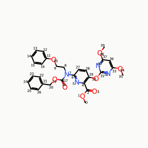 COC(=O)c1nc(N(CCOc2ccccc2)C(=O)OCc2ccccc2)ccc1Oc1nc(OC)cc(OC)n1